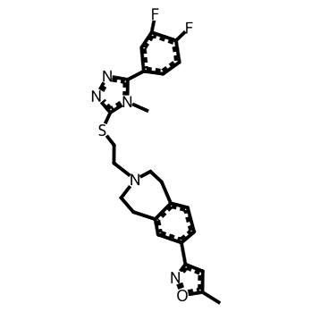 Cc1cc(-c2ccc3c(c2)CCN(CCSc2nnc(-c4ccc(F)c(F)c4)n2C)CC3)no1